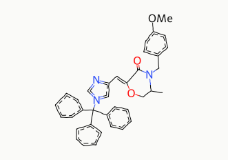 COc1ccc(CN2C(=O)C(=Cc3cn(C(c4ccccc4)(c4ccccc4)c4ccccc4)cn3)OCC2C)cc1